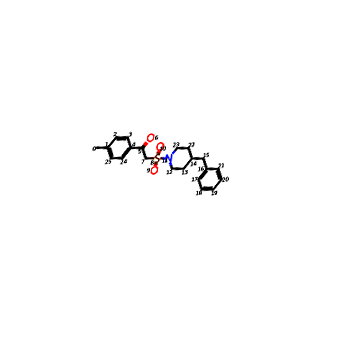 Cc1ccc(C(=O)CS(=O)(=O)N2CCC(Cc3ccccc3)CC2)cc1